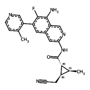 Cc1ccncc1-c1cc2cc(NC(=O)[C@@H]3[C@@H](C)[C@H]3CC#N)ncc2c(N)c1F